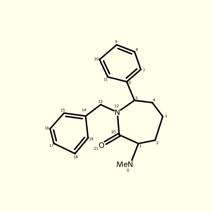 CNC1CCCC(c2ccccc2)N(Cc2ccccc2)C1=O